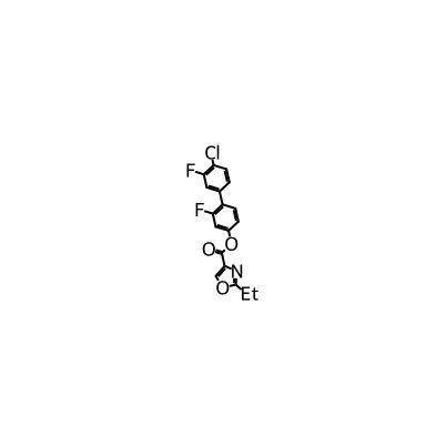 CCc1nc(C(=O)Oc2ccc(-c3ccc(Cl)c(F)c3)c(F)c2)co1